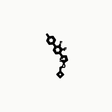 Cc1ccc(-c2ccc(-c3ccc(OCC4CCC4)s3)c(F)c2F)cc1